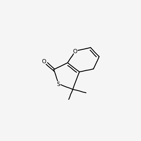 CC1(C)SC(=O)C2=C1CC=CO2